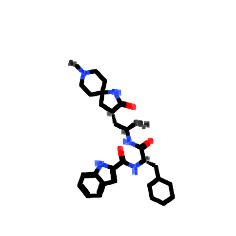 CC(=O)N1CCC2(CC1)C[C@@H](C[C@H](NC(=O)[C@H](CC1CCCCC1)NC(=O)c1cc3ccccc3[nH]1)C(=O)O)C(=O)N2